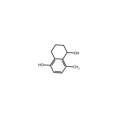 Cc1ccc(O)c2c1C(O)CCC2